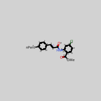 CCCCCc1ccc(/C=C/C(=O)Nc2cc(Cl)ccc2C(=O)OC)cc1